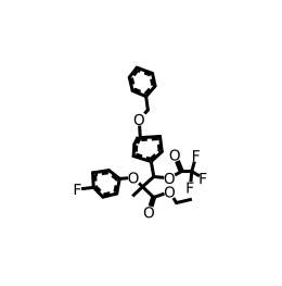 CCOC(=O)C(C)(Oc1ccc(F)cc1)C(OC(=O)C(F)(F)F)c1ccc(OCc2ccccc2)cc1